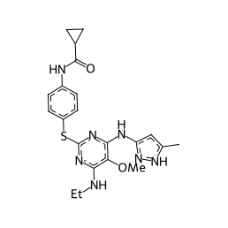 CCNc1nc(Sc2ccc(NC(=O)C3CC3)cc2)nc(Nc2cc(C)[nH]n2)c1OC